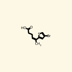 C/C(=C/CCC(=O)O)c1cc(Br)cs1